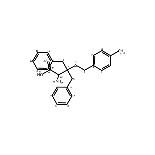 Cc1ccc(CSC(Cc2ccccc2)(Cc2ccccc2)C(N)C(=O)O)cc1